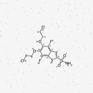 NS(=O)(=O)c1cc2c(F)c(OCCCl)c(OCCCl)c(F)c2s1